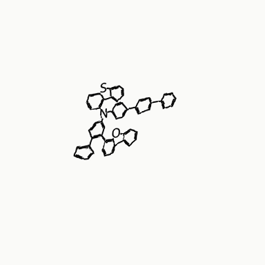 c1ccc(-c2ccc(-c3ccc(N(c4ccc(-c5ccccc5)c(-c5cccc6c5oc5ccccc56)c4)c4cccc5sc6ccccc6c45)cc3)cc2)cc1